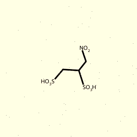 O=[N+]([O-])CC(CS(=O)(=O)O)S(=O)(=O)O